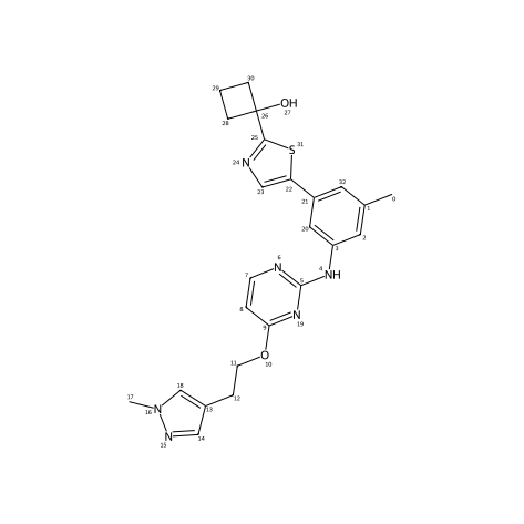 Cc1cc(Nc2nccc(OCCc3cnn(C)c3)n2)cc(-c2cnc(C3(O)CCC3)s2)c1